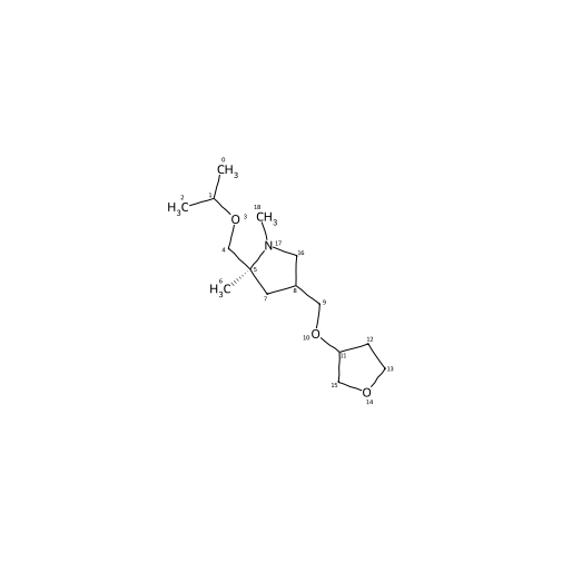 CC(C)OC[C@]1(C)CC(COC2CCOC2)CN1C